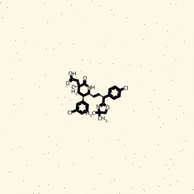 CC1(C)COC([C@@H](CC[C@@H]2NC(=O)[C@](C)(CC(=O)O)C[C@@H]2c2cccc(Cl)c2)c2ccc(Cl)cc2)=N1